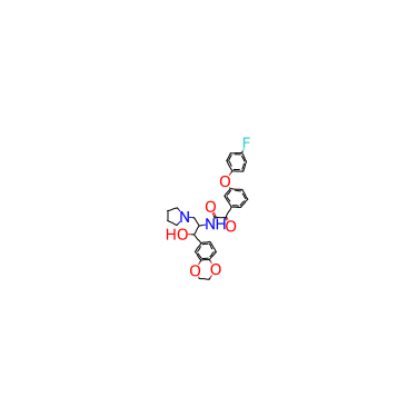 O=C(NC(CN1CCCC1)C(O)c1ccc2c(c1)OCCO2)C(=O)c1cccc(Oc2ccc(F)cc2)c1